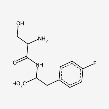 NC(CO)C(=O)NC(Cc1ccc(F)cc1)C(=O)O